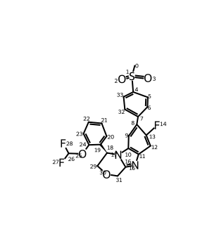 CS(=O)(=O)c1ccc(-c2cc3c(cc2F)nc2n3[C@H](c3ccccc3OC(F)F)COC2)cc1